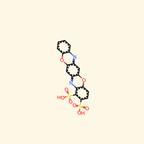 O=S(=O)(O)c1ccc2c(c1S(=O)(=O)O)N=c1cc3c(cc1O2)=Nc1ccccc1O3